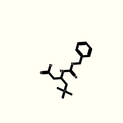 C[N+](C)(C)CC(CC(=O)[O-])NC(=O)OCc1ccccc1